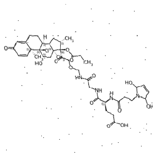 CCC(=O)O[C@]1(C(=O)COCNC(=O)CNC(=O)[C@H](CCC(=O)O)NC(=O)CCN2C(O)C=CC2O)[C@@H](C)CC2[C@@H]3CCC4=CC(=O)C=C[C@]4(C)[C@@]3(Cl)[C@@H](O)C[C@@]21C